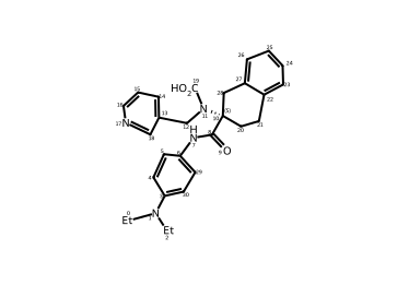 CCN(CC)c1ccc(NC(=O)[C@]2(N(Cc3cccnc3)C(=O)O)CCc3ccccc3C2)cc1